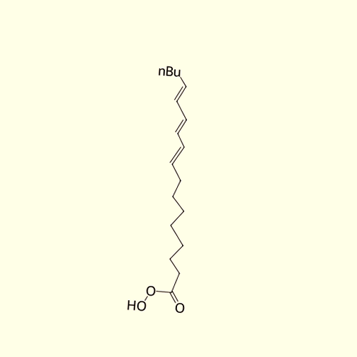 CCCCC=CC=CC=CCCCCCCCC(=O)OO